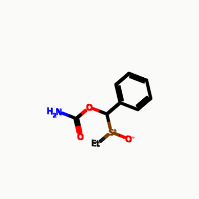 CC[S+]([O-])C(OC(N)=O)c1ccccc1